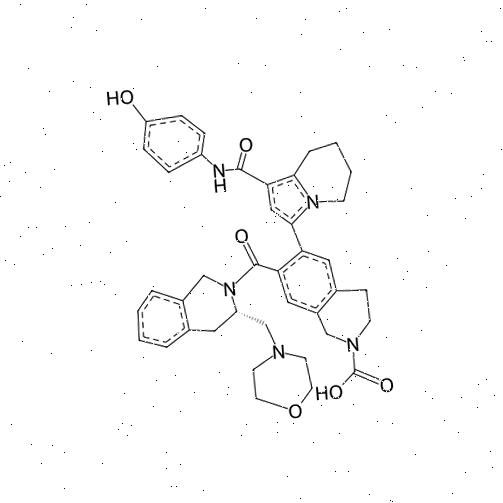 O=C(Nc1ccc(O)cc1)c1cc(-c2cc3c(cc2C(=O)N2Cc4ccccc4C[C@H]2CN2CCOCC2)CN(C(=O)O)CC3)n2c1CCCC2